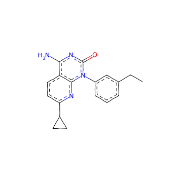 CCc1cccc(-n2c(=O)nc(N)c3ccc(C4CC4)nc32)c1